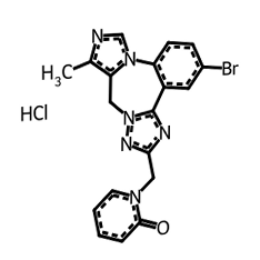 Cc1ncn2c1Cn1nc(Cn3ccccc3=O)nc1-c1cc(Br)ccc1-2.Cl